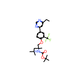 CCc1cc(-c2ccc(OCC(C)(CC(C)C)NC(=O)OC(C)(C)C)c(C(F)(F)F)c2)ncn1